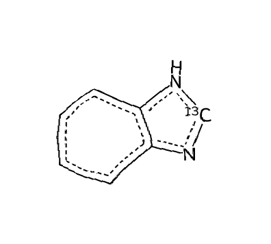 c1ccc2[nH][13cH]nc2c1